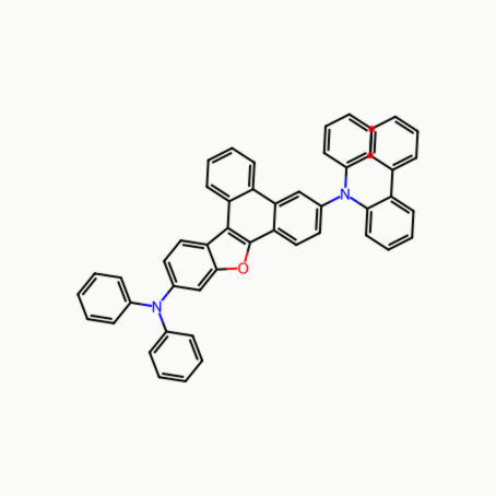 c1ccc(-c2ccccc2N(c2ccccc2)c2ccc3c(c2)c2ccccc2c2c4ccc(N(c5ccccc5)c5ccccc5)cc4oc32)cc1